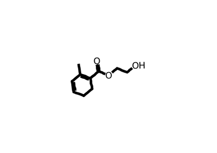 CC1=C(C(=O)OCCO)CCC=C1